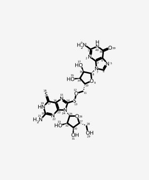 Nc1nc2c(ncn2[C@@H]2O[C@H](COSc3nc4c(=S)[nH]c(N)nc4n3[C@@H]3O[C@H](CO)[C@@H](O)[C@H]3O)[C@@H](O)[C@H]2O)c(=O)[nH]1